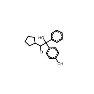 CCC(C1CCCC1)C(O)(c1ccccc1)c1ccc(O)cc1